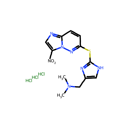 CN(C)Cc1c[nH]c(Sc2ccc3ncc([N+](=O)[O-])n3n2)n1.Cl.Cl.Cl